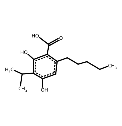 CCCCCc1cc(O)c(C(C)C)c(O)c1C(=O)O